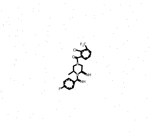 CC1CN(C(=O)c2cccc(C(F)(F)F)c2Cl)CC(=N)N1C(=N)c1ccc(F)cc1